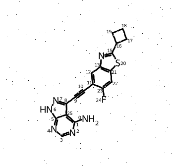 Nc1ncnc2[nH]nc(C#Cc3cc4nc(C5CCC5)sc4cc3F)c12